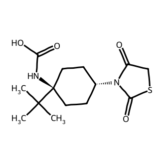 CC(C)(C)[C@]1(NC(=O)O)CC[C@H](N2C(=O)CSC2=O)CC1